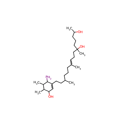 C/C(=C\CCC(C)(O)CCCC(C)O)CCCC(C)CCC1=CC(O)C(C)C(C)C1P